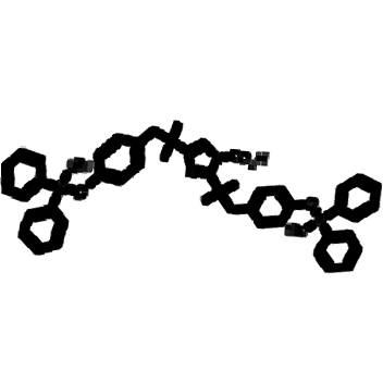 CC(C)(Cc1ccc(O[Si](c2ccccc2)(c2ccccc2)C(C)(C)C)cc1)c1cn(C(=O)O)c(C(C)(C)Cc2ccc(O[Si](c3ccccc3)(c3ccccc3)C(C)(C)C)cc2)n1